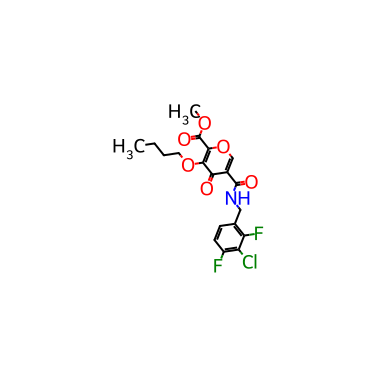 CCCCOc1c(C(=O)OC)occ(C(=O)NCc2ccc(F)c(Cl)c2F)c1=O